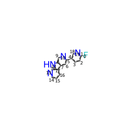 Fc1ccc(-c2cc3c(cn2)[nH]c2ncccc23)cn1